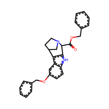 O=C(OCc1ccccc1)C1c2[nH]c3ccc(OCc4ccccc4)cc3c2C2CCN1C2